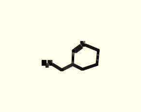 NCC1C=NCCC1